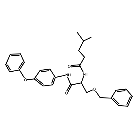 CC(C)CCC(=O)NC(COCc1ccccc1)C(=O)Nc1ccc(Oc2ccccc2)cc1